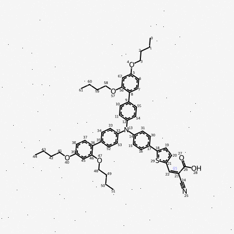 CCCCOc1ccc(-c2ccc(N(c3ccc(-c4ccc(/C=C(/C#N)C(=O)O)s4)cc3)c3ccc(-c4ccc(OCCCC)cc4OCCCC)cc3)cc2)c(OCCCC)c1